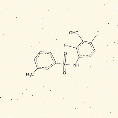 Cc1cccc(S(=O)(=O)Nc2ccc(F)c(C=O)c2F)c1